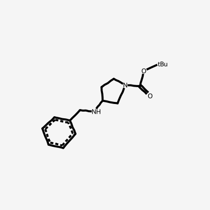 CC(C)(C)OC(=O)N1CCC(NCc2ccccc2)C1